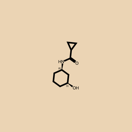 O=C(N[C@@H]1CCC[C@H](O)C1)C1CC1